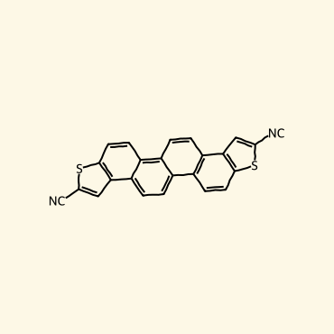 [C-]#[N+]c1cc2c(ccc3c2ccc2c4ccc5sc(C#N)cc5c4ccc32)s1